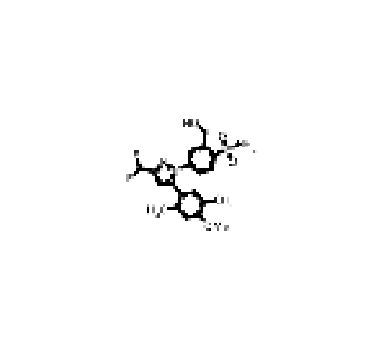 COc1cc(C)c(-c2cc(C(F)F)nn2-c2ccc(S(N)(=O)=O)c(CO)c2)cc1C